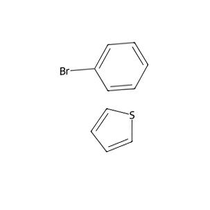 Brc1ccccc1.c1ccsc1